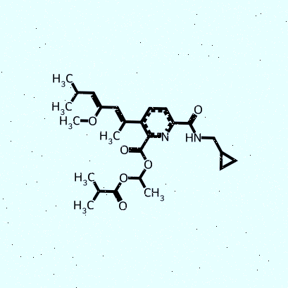 COC(=C\C(C)C)/C=C(\C)c1ccc(C(=O)NCC2CC2)nc1C(=O)OC(C)OC(=O)C(C)C